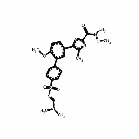 COc1ccc(-c2sc(C(=O)N(C)OC)nc2C)cc1-c1ccc(S(=O)(=O)N=CN(C)C)cc1